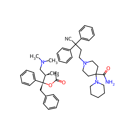 CCC(=O)O[C@](Cc1ccccc1)(c1ccccc1)[C@H](C)CN(C)C.N#CC(CCN1CCC(C(N)=O)(N2CCCCC2)CC1)(c1ccccc1)c1ccccc1